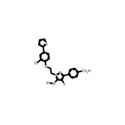 CCOc1c(F)c(-c2ccc(C(=O)O)cc2)nn1CCOc1ccc(-c2cccs2)cc1Cl